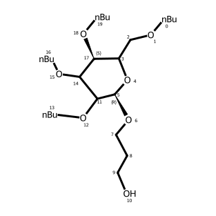 CCCCOCC1O[C@@H](OCCCO)C(OCCCC)C(OCCCC)[C@H]1OCCCC